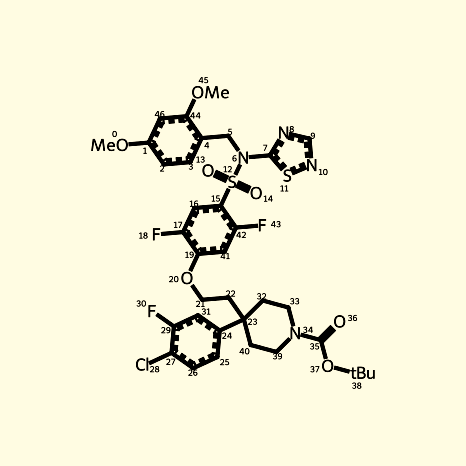 COc1ccc(CN(c2ncns2)S(=O)(=O)c2cc(F)c(OCCC3(c4ccc(Cl)c(F)c4)CCN(C(=O)OC(C)(C)C)CC3)cc2F)c(OC)c1